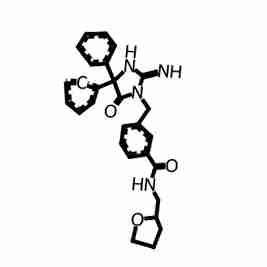 N=C1NC(c2ccccc2)(c2ccccc2)C(=O)N1Cc1cccc(C(=O)NCC2CCCO2)c1